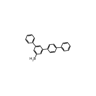 Bc1cc(-c2ccccc2)cc(-c2ccc(-c3ccccc3)cc2)c1